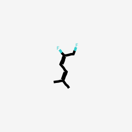 CC(C)=C/C=C(/F)CF